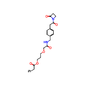 CC(C)CC(=O)OCCCOCC(=O)NCc1ccc(CC(=O)N2CCC2=O)cc1